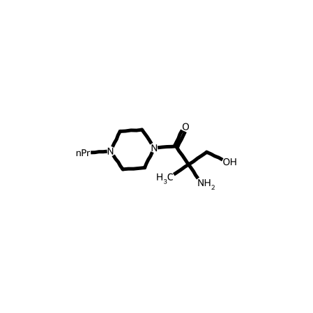 CCCN1CCN(C(=O)C(C)(N)CO)CC1